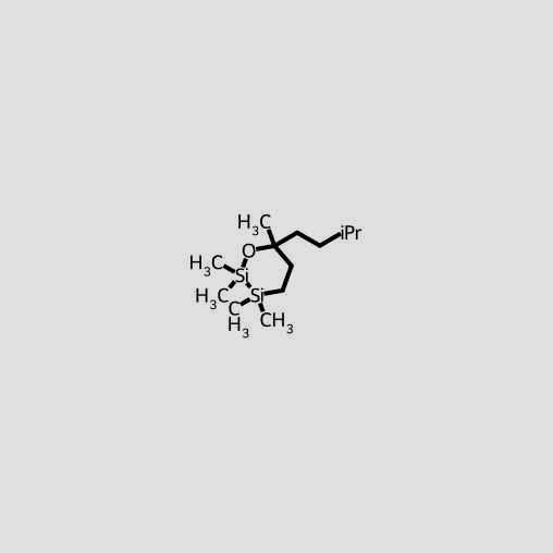 CC(C)CCC1(C)CC[Si](C)(C)[Si](C)(C)O1